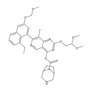 CCc1cccc2cc(OCOC)cc(-c3ncc4c(OC(=O)N5C6CCC5CNC6)nc(OCC(OC)OC)nc4c3F)c12